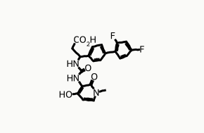 Cn1ccc(O)c(NC(=O)NC(CC(=O)O)c2ccc(-c3ccc(F)cc3F)cc2)c1=O